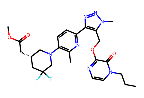 CCCn1ccnc(OCc2c(-c3ccc(N4C[C@@H](CC(=O)OC)CC(F)(F)C4)c(C)n3)nnn2C)c1=O